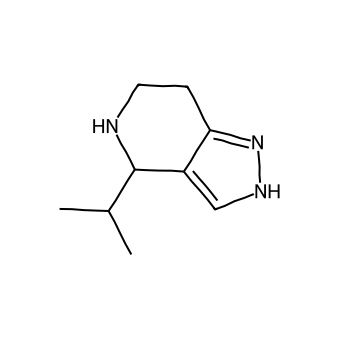 CC(C)C1NCCc2n[nH]cc21